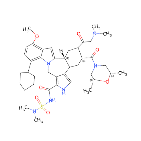 COc1ccc(C2CCCCC2)c2c1cc1n2Cc2c(c[nH]c2C(=O)NS(=O)(=O)N(C)C)C2C[C@@H](C(=O)N3C[C@@H](C)O[C@@H](C)C3)C(C(=O)CN(C)C)C[C@@H]12